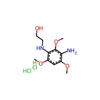 COc1cc(OC)c(NCCO)c(OC)c1N.Cl.Cl